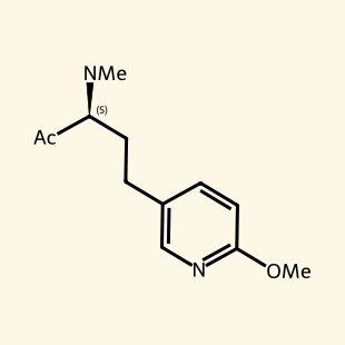 CN[C@@H](CCc1ccc(OC)nc1)C(C)=O